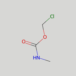 CNC(=O)OCCl